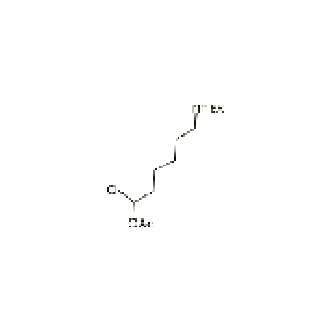 CCCCCCCCCCCC(Cl)OC(C)=O